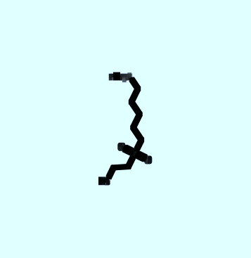 CCCCCCCCCCCCS(=O)(=O)CCS